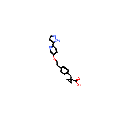 O=C(O)C1(Cc2ccc(CCOc3ccc(-c4ccn[nH]4)nc3)cc2)CC1